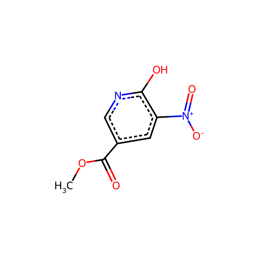 COC(=O)c1cnc(O)c([N+](=O)[O-])c1